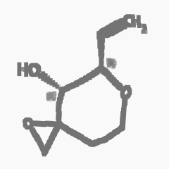 C=C[C@H]1OCCC2(CO2)[C@@H]1O